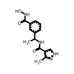 Cc1n[nH]cc1C(=O)NC(C)c1cccc(C(=O)NO)c1